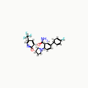 NC(=O)c1cc(-c2ccc(F)cc2)ccc1N1CC[C@H](Oc2ccc(C(F)(F)F)cn2)C1